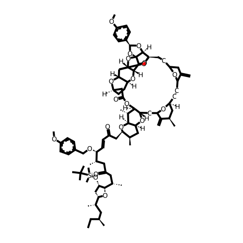 C=C1CC2CC[C@@]34OC5[C@H]6O[C@H](CC[C@@H]6O[C@H]6C(O3)[C@]3(O[C@@H](c7ccc(OC)cc7)O[C@@H]43)O[C@@H]56)CC(=O)O[C@@H]3[C@@H](C)[C@@H]4O[C@H](CC(=O)/C=C/[C@@H](OCc5ccc(OC)cc5)[C@@H](C)CC(=O)C[C@H](C)[C@@H]5O[C@H]([C@@H](C)C[C@@H](C)CC)C[C@@H]5O[Si](C)(C)C(C)(C)C)[C@H](C)C[C@@H]4O[C@H]3CC3O[C@@H](CCC1O2)C[C@@H](C)C3=C